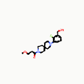 COCCC(=O)N1CCC2(CC1)CCN(c1cccc(CO)c1F)CC2